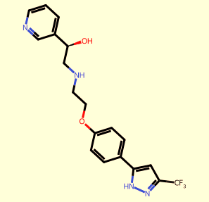 O[C@@H](CNCCOc1ccc(-c2cc(C(F)(F)F)n[nH]2)cc1)c1cccnc1